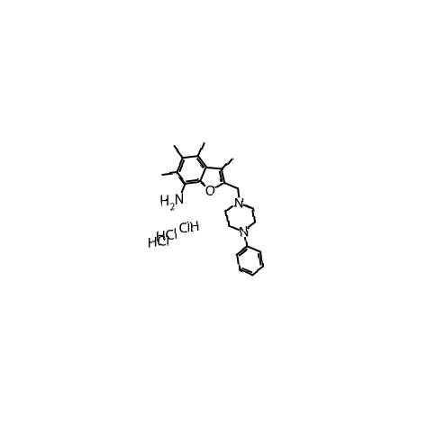 Cc1c(C)c(C)c2c(C)c(CN3CCN(c4ccccc4)CC3)oc2c1N.Cl.Cl.Cl